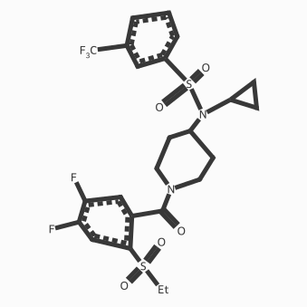 CCS(=O)(=O)c1cc(F)c(F)cc1C(=O)N1CCC(N(C2CC2)S(=O)(=O)c2cccc(C(F)(F)F)c2)CC1